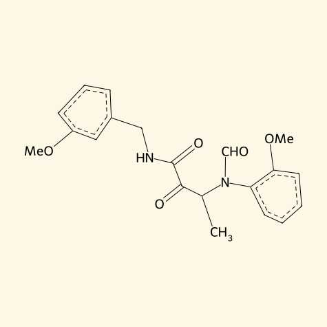 COc1cccc(CNC(=O)C(=O)C(C)N(C=O)c2ccccc2OC)c1